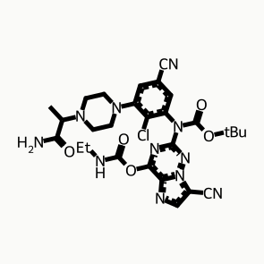 CCNC(=O)Oc1nc(N(C(=O)OC(C)(C)C)c2cc(C#N)cc(N3CCN(C(C)C(N)=O)CC3)c2Cl)nn2c(C#N)cnc12